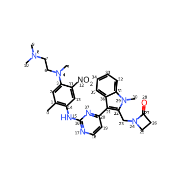 Cc1cc(N(C)CCN(C)C)c([N+](=O)[O-])cc1Nc1nccc(-c2c(CN3CCC3=O)n(C)c3ccccc23)n1